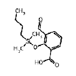 CCCC[Si](C)(C)Oc1c(C=O)cccc1C(=O)O